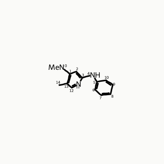 CNc1cc(Nc2ccccc2)ncc1C